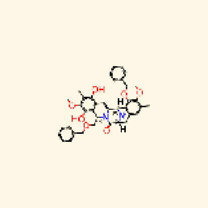 COc1c(C)c(O)c2c(c1O)[C@H](COCc1ccccc1)N1C(=O)[C@H]3Cc4cc(C)c(OC)c(OCc5ccccc5)c4[C@H](C1=C2)N3C